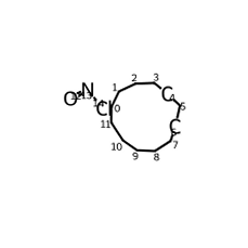 C1CCCCCCCCCCC1.O=NCl